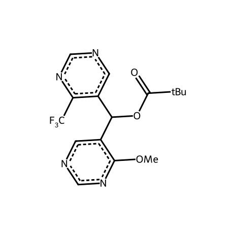 COc1ncncc1C(OC(=O)C(C)(C)C)c1cncnc1C(F)(F)F